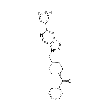 O=C(c1ccccc1)N1CCC(Cn2ccc3cc(-c4cn[nH]c4)ncc32)CC1